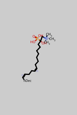 CCCCCCCCCC/C=C\CC/C=C\CCCCCCCC(O)(C[N+](C)(C)C)P(=O)(O)O